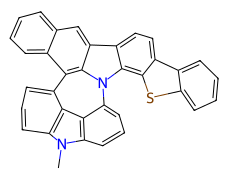 Cn1c2cccc3c2c2c1cccc2n1c2c(ccc4c5ccccc5sc42)c2cc4ccccc4c3c21